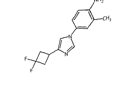 Cc1cc(-n2cnc(C3CC(F)(F)C3)c2)ccc1N